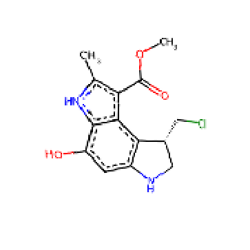 COC(=O)c1c(C)[nH]c2c(O)cc3c(c12)[C@H](CCl)CN3